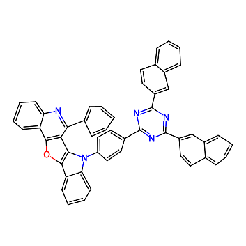 c1ccc(-c2nc3ccccc3c3oc4c5ccccc5n(-c5ccc(-c6nc(-c7ccc8ccccc8c7)nc(-c7ccc8ccccc8c7)n6)cc5)c4c23)cc1